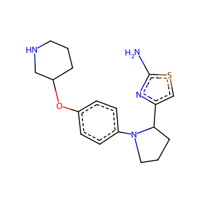 Nc1nc(C2CCCN2c2ccc(OC3CCCNC3)cc2)cs1